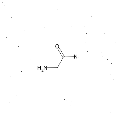 [N]C(=O)CN